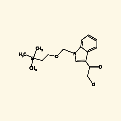 C[Si](C)(C)CCOCn1cc(C(=O)CCl)c2ccccc21